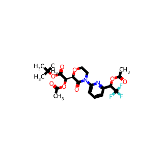 CC(=O)OC(C(=O)OC(C)(C)C)[C@H]1OCCN(c2cccc(C(OC(C)=O)C(F)(F)F)n2)C1=O